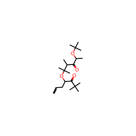 C=CCC(OC(C)(C)C(C)C(=O)C(C)OC(C)(C)C)C(=O)C(C)(C)C